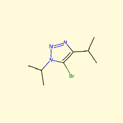 CC(C)c1nnn(C(C)C)c1Br